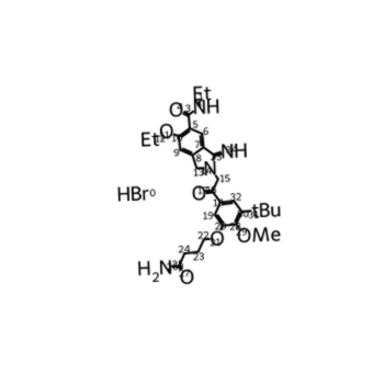 Br.CCNC(=O)c1cc2c(cc1OCC)CN(CC(=O)c1cc(OCCCC(N)=O)c(OC)c(C(C)(C)C)c1)C2=N